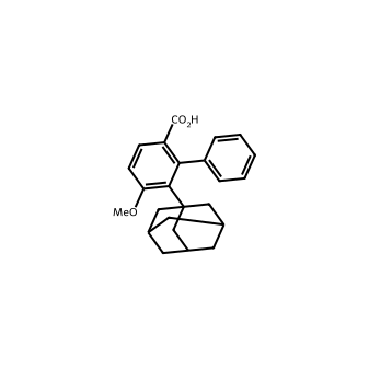 COc1ccc(C(=O)O)c(-c2ccccc2)c1C12CC3CC(CC(C3)C1)C2